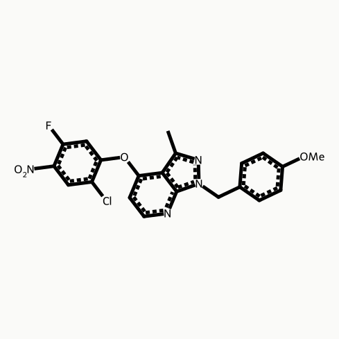 COc1ccc(Cn2nc(C)c3c(Oc4cc(F)c([N+](=O)[O-])cc4Cl)ccnc32)cc1